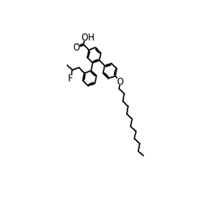 CCCCCCCCCCCCOc1ccc(-c2ccc(C(=O)O)cc2-c2ccccc2CC(C)F)cc1